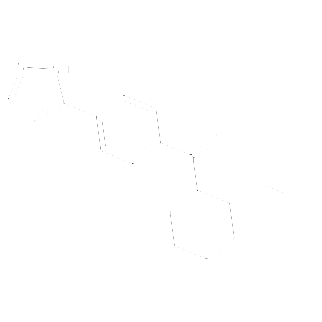 O=CSC1CCCCC1C(=O)c1ccc(-c2ccn[nH]2)cc1